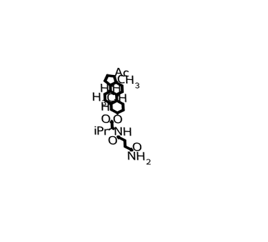 CC(=O)[C@H]1CC[C@H]2[C@@H]3CC[C@H]4C[C@H](OC(=O)[C@@H](NC(=O)CCC(N)=O)C(C)C)CC[C@]4(C)[C@H]3CC[C@]12C